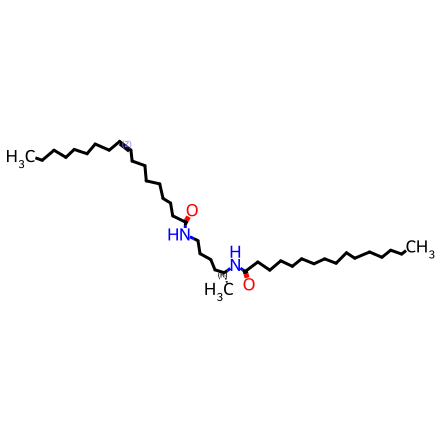 CCCCCCCC/C=C\CCCCCCCC(=O)NCCCC[C@@H](C)NC(=O)CCCCCCCCCCCCCCC